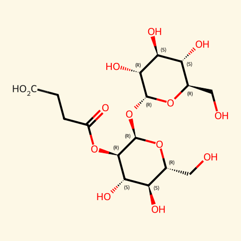 O=C(O)CCC(=O)O[C@H]1[C@@H](O[C@H]2O[C@H](CO)[C@@H](O)[C@H](O)[C@H]2O)O[C@H](CO)[C@@H](O)[C@@H]1O